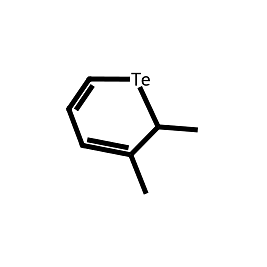 CC1=CC=C[Te]C1C